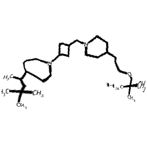 CC(C1CCN(C2CC(CN3CCC(CCOC(C)(C)C)CC3)C2)CC1)C(C)(C)C